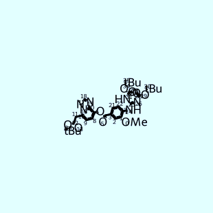 COc1cc(C(=O)Oc2ccc(CC(=O)OC(C)(C)C)n3ncnc23)ccc1N/C(=N/C(=O)OC(C)(C)C)NC(=O)OC(C)(C)C